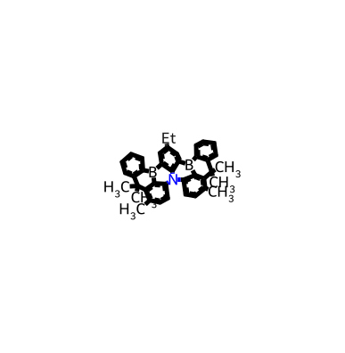 CCc1cc2c3c(c1)B1c4ccccc4C(C)(C)c4c(C)ccc(c41)N3c1ccc(C)c3c1B2c1ccccc1C3(C)C